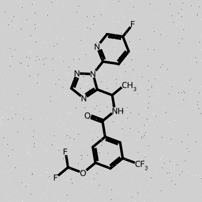 CC(NC(=O)c1cc(OC(F)F)cc(C(F)(F)F)c1)c1ncnn1-c1ccc(F)cn1